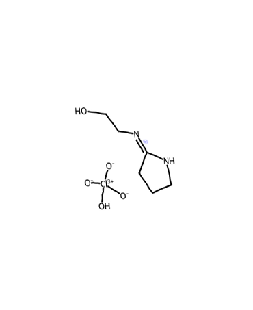 OCC/N=C1\CCCN1.[O-][Cl+3]([O-])([O-])O